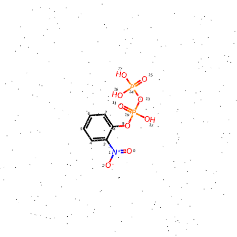 O=[N+]([O-])c1ccccc1OP(=O)(O)OP(=O)(O)O